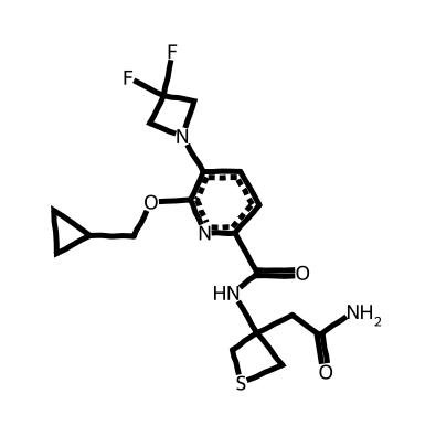 NC(=O)CC1(NC(=O)c2ccc(N3CC(F)(F)C3)c(OCC3CC3)n2)CSC1